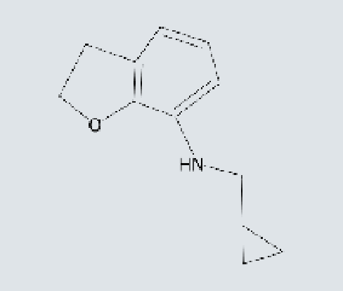 c1cc2c(c(NCC3CC3)c1)OCC2